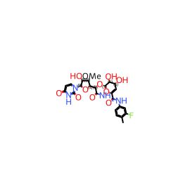 CO[C@H]1[C@@H](O)[C@H](n2ccc(=O)[nH]c2=O)O[C@@H]1[C@@H](O[C@H]1OC(C(=O)Nc2ccc(C)c(F)c2)=C[C@H](O)[C@@H]1O)C(N)=O